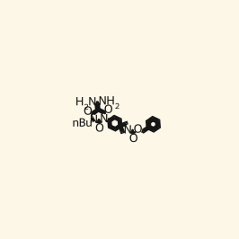 CCCCN1C(=O)C(=C(N)N)C(=O)N(C2CCC3(CC2)CN(C(=O)OCc2ccccc2)C3)C1=O